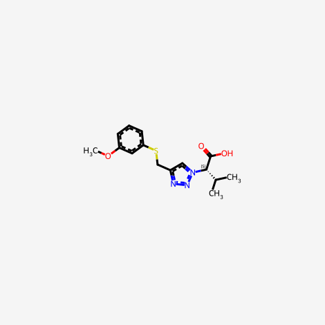 COc1cccc(SCc2cn([C@H](C(=O)O)C(C)C)nn2)c1